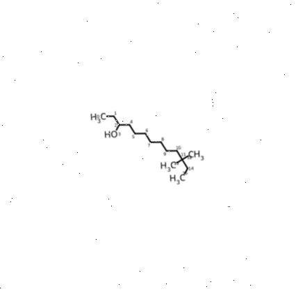 CCC(O)CCCCCCCC(C)(C)CC